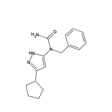 NC(=O)N(Cc1ccccc1)c1cc(C2CCCC2)n[nH]1